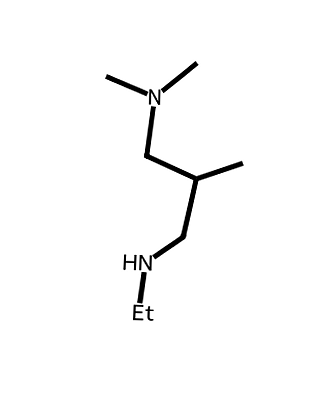 CCNCC(C)CN(C)C